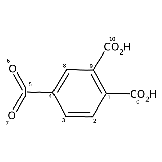 O=C(O)c1ccc(I(=O)=O)cc1C(=O)O